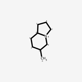 CC1CCC2CCCN2C1